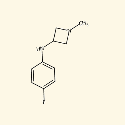 CN1CC(Nc2ccc(F)cc2)C1